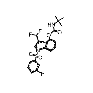 CC(C)(C)NC(=O)Oc1cccc2c1c(C(F)F)cn2S(=O)(=O)c1cccc(F)c1